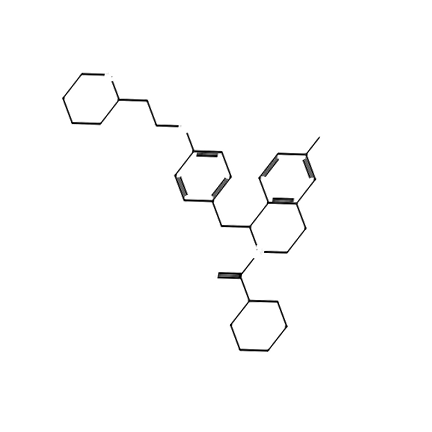 O=C(C1CCCCC1)N1CCc2cc(O)ccc2C1Cc1ccc(OCCC2CCCCN2)cc1